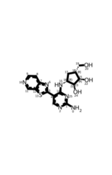 Nc1ncc(-c2nc3ccncc3s2)c(N[C@@H]2C[C@H](CO)[C@@H](O)[C@H]2O)n1